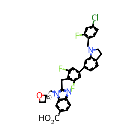 O=C(O)c1ccc2nc(Cc3c(F)cc(-c4ccc5c(c4)N(Cc4ccc(Cl)cc4F)CC5)cc3F)n(C[C@@H]3CCO3)c2c1